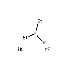 CCP(CC)CC.Cl.Cl